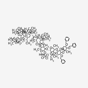 CC[C@H](C)[C@H](C[C@@H](CC(=O)O[C@H]1C(C)O[C@H](OC(=N)C(Cl)(Cl)Cl)C(OC[C@@H]2O[C@H](C)[C@H](O[C@@H]3OC[C@@H](OCc4ccccc4)C(O[C@@H]4OC[C@@H](OCc5ccccc5)C(OCc5ccccc5)C4C)C3C)C3OC(C)(C)OC32)C1C)O[Si](C)(C)C(C)(C)C)OC(=O)C[C@H](C[C@H](O[C@@H]1O[C@@H](CO[Si](C)(C)C(C)(C)C)C(O[Si](C)(C)C(C)(C)C)C1C)[C@@H](C)CC)O[Si](C)(C)C(C)(C)C